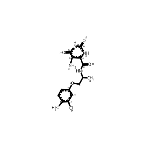 Cc1ccc(OCC(C)NC(=O)c2[nH]c(=O)[nH]c(=O)c2N)cc1Cl